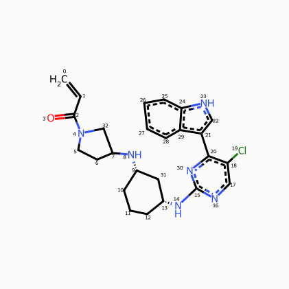 C=CC(=O)N1CCC(N[C@H]2CCC[C@@H](Nc3ncc(Cl)c(-c4c[nH]c5ccccc45)n3)C2)C1